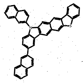 c1ccc2cc(-c3ccc4c(c3)c3cc5cc6sc7ccccc7c6cc5cc3n4-c3ccc4ccccc4c3)ccc2c1